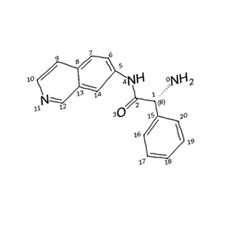 N[C@@H](C(=O)Nc1ccc2ccncc2c1)c1ccccc1